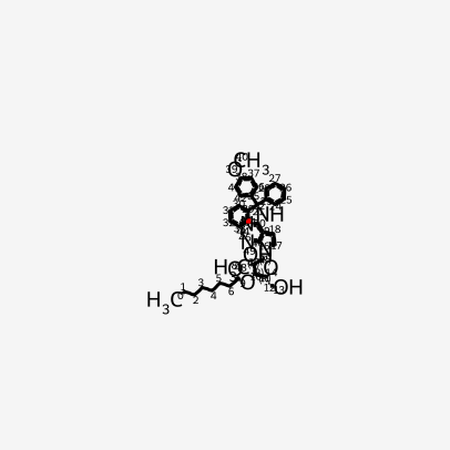 CCCCCCCC(=O)O[C@@H]1[C@@H](CO)O[C@@H](n2ccc3c(NC(c4ccccc4)(c4ccccc4)c4ccc(OC)cc4)ncnc32)[C@]1(C)O